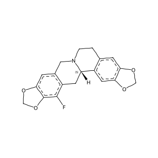 Fc1c2c(cc3c1OCO3)CN1CCc3cc4c(cc3[C@@H]1C2)OCO4